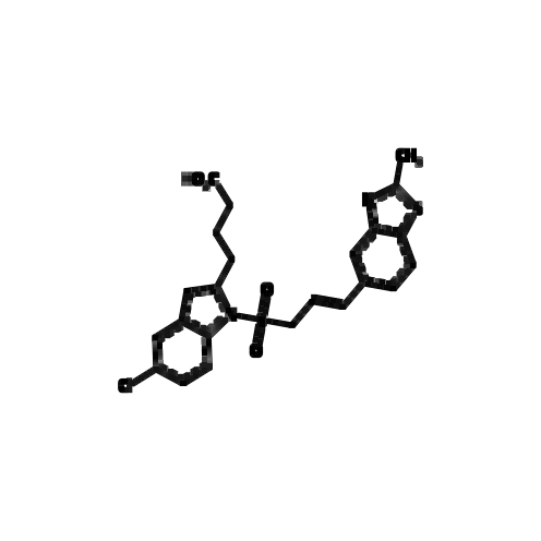 Cc1nc2cc(C=CCS(=O)(=O)n3c(CCCC(=O)O)cc4cc(Cl)ccc43)ccc2s1